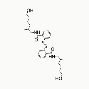 CC(CCCCO)CNC(=O)c1ccccc1SSc1ccccc1C(=O)NCC(C)CCCCO